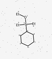 CCO[Si](CC)(CC)C1CCCCC1